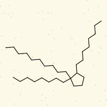 CCCCCCCCCCC1(CCCCCCCC)CCCC1CCCCCCCC